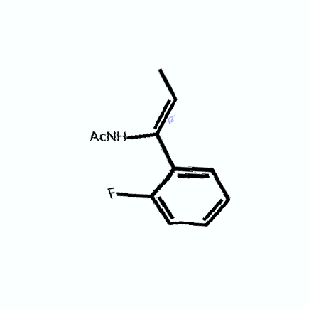 C/C=C(\NC(C)=O)c1ccccc1F